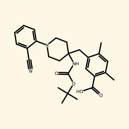 Cc1cc(C)c(C(=O)O)cc1CC1(NC(=O)OC(C)(C)C)CCN(c2ccccc2C#N)CC1